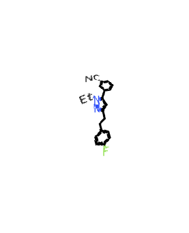 CCn1nc(CCc2ccc(F)cc2)cc1-c1cccc(C#N)c1